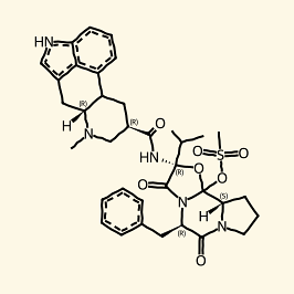 CC(C)[C@@]1(NC(=O)[C@@H]2CC3c4cccc5[nH]cc(c45)C[C@H]3N(C)C2)OC2(OS(C)(=O)=O)[C@@H]3CCCN3C(=O)[C@@H](Cc3ccccc3)N2C1=O